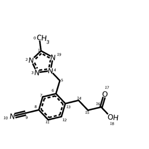 Cc1nnn(Cc2cc(C#N)ccc2CCC(=O)O)n1